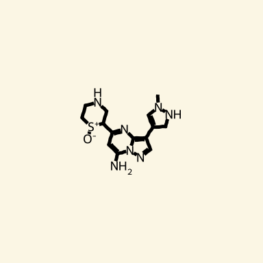 CN1C=C(c2cnn3c(N)cc(C4CNCC[S+]4[O-])nc23)CN1